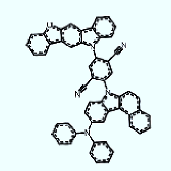 N#Cc1cc(-n2c3ccc(N(c4ccccc4)c4ccccc4)cc3c3c4ccccc4ccc32)c(C#N)cc1-n1c2ccccc2c2cc3oc4ccccc4c3cc21